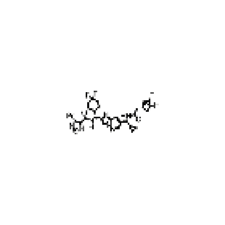 CC(C)c1nonc1C(=O)N[C@H](c1cn2ncc([C@H](NC(=O)C[C@]34CC(F)[C@@H](C3)C4)C3CC3)cc2n1)C1CCC(F)(F)CC1